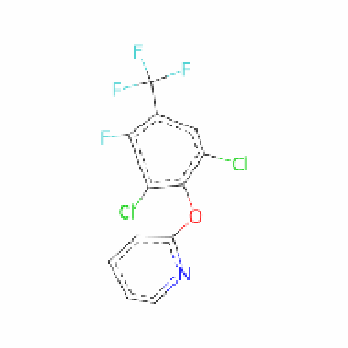 Fc1c(C(F)(F)F)cc(Cl)c(Oc2ccccn2)c1Cl